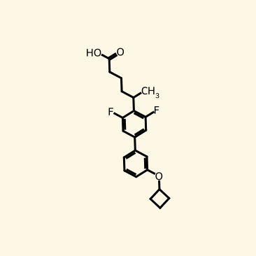 CC(CCCC(=O)O)c1c(F)cc(-c2cccc(OC3CCC3)c2)cc1F